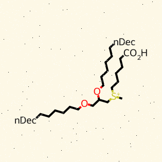 CCCCCCCCCCCCCCCCOCC(C[S+](C)CCCCCC(=O)O)OCCCCCCCCCCCCCCCC